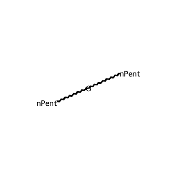 CCCCCC=CCC=CCC=CCC=CCCCCOCCCCC=CCC=CCC=CCC=CCCCCC